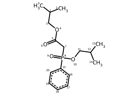 CC(C)COC(=O)CP(=O)(OCC(C)C)c1ccccc1